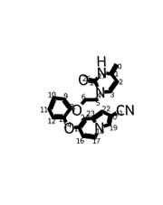 C=C1C=CN(CCOc2ccccc2Oc2ccn3cc(C#N)cc3c2)C(=O)N1